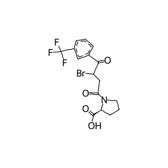 O=C(c1cccc(C(F)(F)F)c1)C(Br)CC(=O)N1CCC[C@H]1C(=O)O